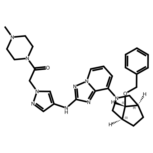 CN1CCN(C(=O)Cn2cc(Nc3nc4c(N5C[C@H]6CC[C@@H](C5)[C@@H]6OCc5ccccc5)cccn4n3)cn2)CC1